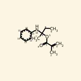 C=C(C)C(=O)OC(C)(CC)Nc1ccccc1